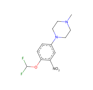 CN1CCN(c2ccc(OC(F)F)c([N+](=O)[O-])c2)CC1